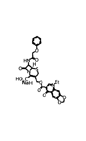 CCn1cc(C(=O)OCC2=C(C(=O)O)N3C(=O)C(NC(=O)COc4ccccc4)[C@H]3SC2)c(=O)c2cc3c(cc21)OCO3.[NaH]